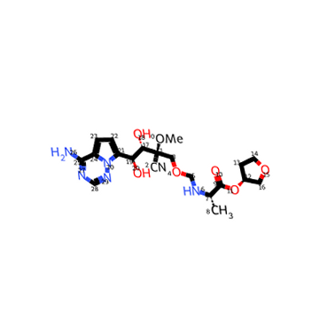 CO[C@](C#N)(COCN[C@@H](C)C(=O)O[C@H]1CCOC1)[C@@H](O)[C@@H](O)c1ccc2c(N)ncnn12